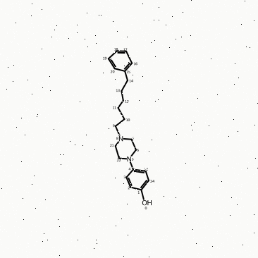 Oc1ccc(N2CCN(CCCCCCc3ccccc3)CC2)cc1